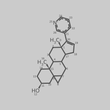 C[C@]12CCC3C(CC4CC45C[C@@H](O)CC[C@]35C)C1CC=C2c1cccnc1